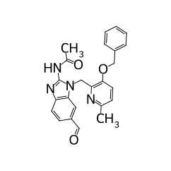 CC(=O)Nc1nc2ccc(C=O)cc2n1Cc1nc(C)ccc1OCc1ccccc1